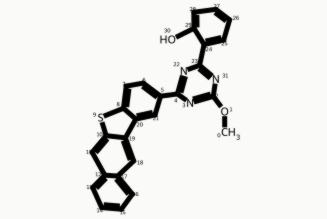 COc1nc(-c2ccc3sc4cc5ccccc5cc4c3c2)nc(-c2ccccc2O)n1